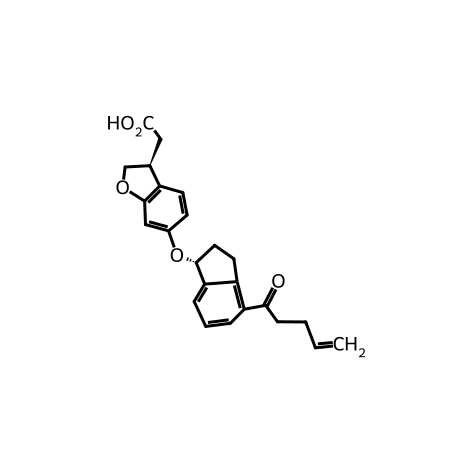 C=CCCC(=O)c1cccc2c1CC[C@H]2Oc1ccc2c(c1)OC[C@H]2CC(=O)O